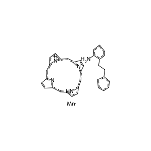 C1=Cc2cc3ccc(cc4nc(cc5ccc(cc1n2)[nH]5)C=C4)[nH]3.Nc1ccccc1CCc1ccccc1.[Mn]